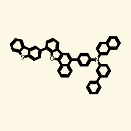 C1=CC(c2ccccc2)=CC(N(c2ccc(-c3cc4c5cccc(-c6ccc7sc8ccccc8c7c6)c5oc4c4ccccc34)cc2)c2ccc3ccccc3c2)C1